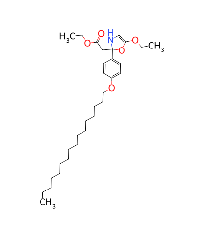 CCCCCCCCCCCCCCCCOc1ccc(C2(CC(=O)OCC)NC=C(OCC)O2)cc1